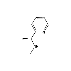 CN[C@@H](C)c1ccccn1